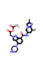 Cc1cn2cc(NC(=O)c3ccc(N4CCNCC4)c4cn(CC(=O)OC(=O)C(F)(F)F)nc34)cc(F)c2n1